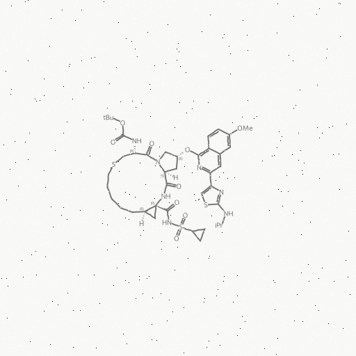 COc1ccc2c(O[C@@H]3C[C@H]4C(=O)N[C@]5(C(=O)NS(=O)(=O)C6CC6)C[C@H]5CCCCCSC[C@H](NC(=O)OC(C)(C)C)C(=O)N4C3)nc(-c3csc(NC(C)C)n3)cc2c1